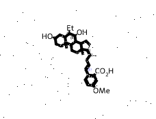 CC[C@@H]1C2C[C@H](O)CCC2(C)C2CCC3(C)C(CC[C@@H]3[C@H](C)C/C=C/c3ccc(OC)cc3C(=O)O)C2[C@@H]1O